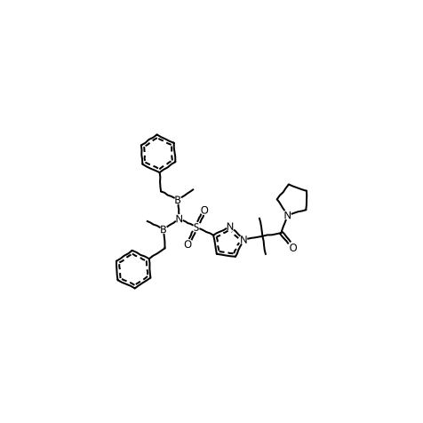 CB(Cc1ccccc1)N(B(C)Cc1ccccc1)S(=O)(=O)c1ccn(C(C)(C)C(=O)N2CCCC2)n1